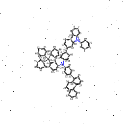 c1ccc(-n2c3ccccc3c3ccc(-c4ccc(N(c5ccc(-c6cccc7c6ccc6ccccc67)cc5)c5cccc6c5-c5ccccc5C6(c5ccccc5)c5ccccc5)cc4)cc32)cc1